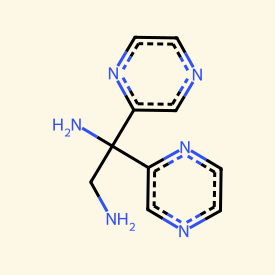 NCC(N)(c1cnccn1)c1cnccn1